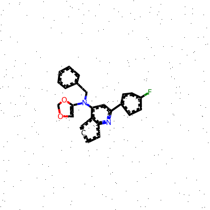 Fc1ccc(-c2cc(N(Cc3ccccc3)C3=COCO3)c3ccccc3n2)cc1